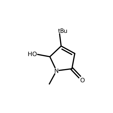 CN1C(=O)C=C(C(C)(C)C)C1O